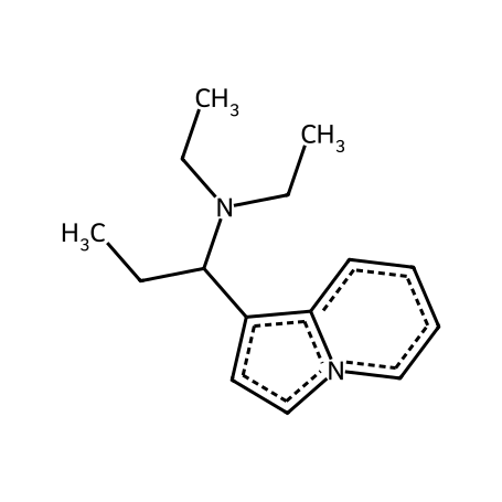 CCC(c1ccn2ccccc12)N(CC)CC